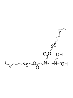 CCC1CC1CCCCSSCCOC(=O)CCN(CCCN(CCO)CCO)CCC(=O)OCCSSCCCCC1CC1CC